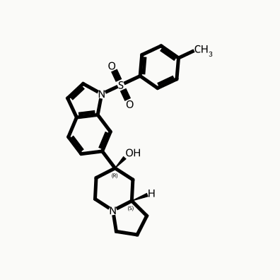 Cc1ccc(S(=O)(=O)n2ccc3ccc([C@@]4(O)CCN5CCC[C@H]5C4)cc32)cc1